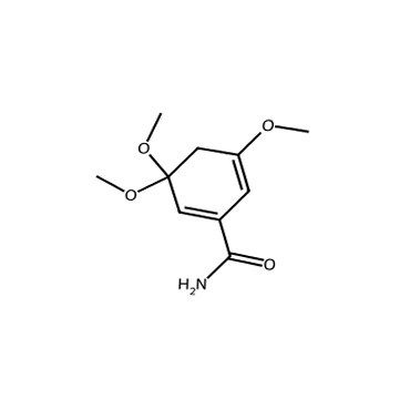 COC1=CC(C(N)=O)=CC(OC)(OC)C1